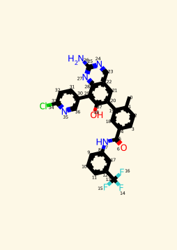 Cc1ccc(C(=O)Nc2cccc(C(F)(F)F)c2)cc1-c1cc2cnc(N)nc2c(-c2ccc(Cl)nc2)c1O